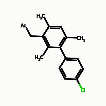 CC(=O)Cc1c(C)cc(C)c(-c2ccc(Cl)cc2)c1C